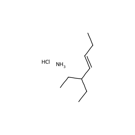 CCC=CC(CC)CC.Cl.N